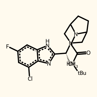 C[C@H](c1nc2c(Cl)cc(F)cc2[nH]1)N1CC2CCC(C1)N2CC(=O)NC(C)(C)C